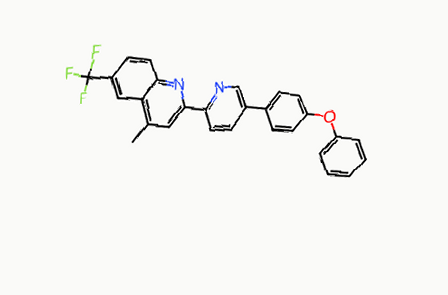 Cc1cc(-c2ccc(-c3ccc(Oc4ccccc4)cc3)cn2)nc2ccc(C(F)(F)F)cc12